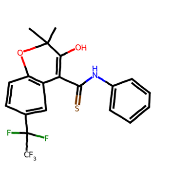 CC1(C)Oc2ccc(C(F)(F)C(F)(F)F)cc2C(C(=S)Nc2ccccc2)=C1O